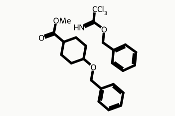 COC(=O)C1CCC(OCc2ccccc2)CC1.N=C(OCc1ccccc1)C(Cl)(Cl)Cl